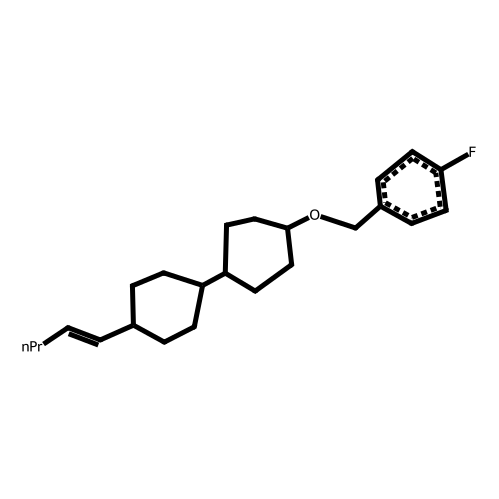 CCCC=CC1CCC(C2CCC(OCc3ccc(F)cc3)CC2)CC1